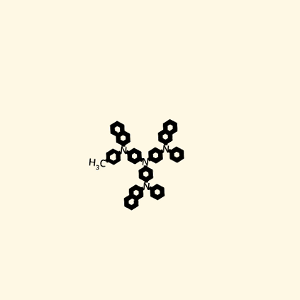 CC1C=CC(N(c2ccc(N(c3ccc(N(c4ccccc4)c4ccc5ccccc5c4)cc3)c3ccc(N(c4ccccc4)c4ccc5ccccc5c4)cc3)cc2)c2ccc3ccccc3c2)=CC1